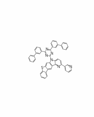 c1ccc(-c2cccc(-c3nc(-c4cccc(-c5ccccc5)c4)nc(-n4c5cc6sc7ccccc7c6cc5c5nc(-c6cccnc6)ccc54)n3)c2)cc1